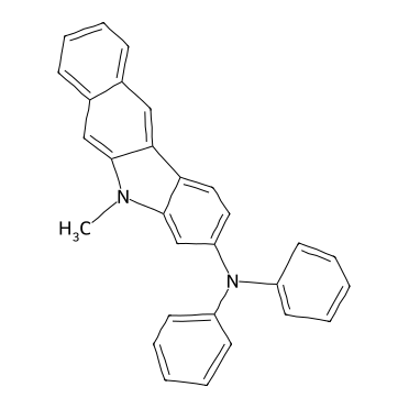 Cn1c2cc(N(c3ccccc3)c3ccccc3)ccc2c2cc3ccccc3cc21